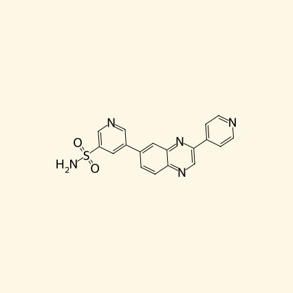 NS(=O)(=O)c1cncc(-c2ccc3ncc(-c4ccncc4)nc3c2)c1